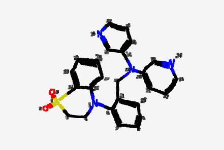 O=S1(=O)CCN(c2ccccc2CN(c2cccnc2)c2cccnc2)c2ccccc21